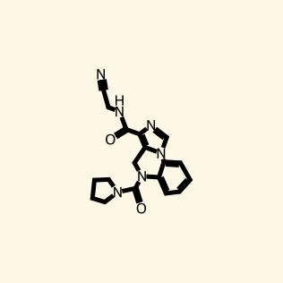 N#CCNC(=O)c1ncn2c1CN(C(=O)N1CCCC1)c1ccccc1-2